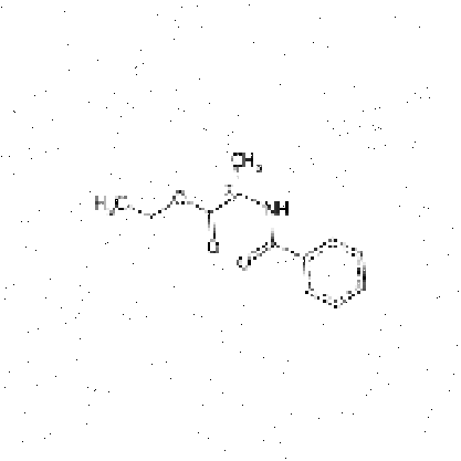 CCOC(=O)[C@H](C)NC(=O)c1ccccc1